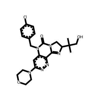 CC(C)(CO)C1CN2C(=O)N(Cc3ccc(Cl)cc3)c3cc(N4CCOCC4)nnc3C2=N1